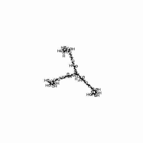 C[C@@H](O)[C@@H](OCCOCCOCCNC(=O)CCOCC(C)(COCCC(=O)NCCOCCOCCO[C@H]1OC(CO)[C@@H](O)C(O)[C@H]1O)COCCC(=O)NCCOCCOCCO[C@H]1OC(CO)[C@@H](O)C(O)[C@H]1O)OC(CO)[C@@H](O)CO